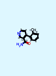 Cc1ccccc1-c1ccncc1C(N)=O